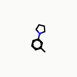 Cc1[c]ccc(N2CCCC2)c1